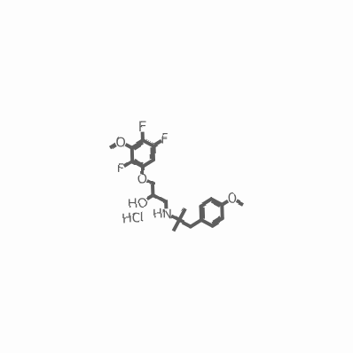 COc1ccc(CC(C)(C)NCC(O)COc2cc(F)c(F)c(OC)c2F)cc1.Cl